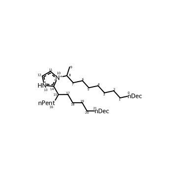 CCCCCCCCCCCCCCCCCC(C)[n+]1cc[nH]c1C(CCCCC)CCCCCCCCCCCCCC